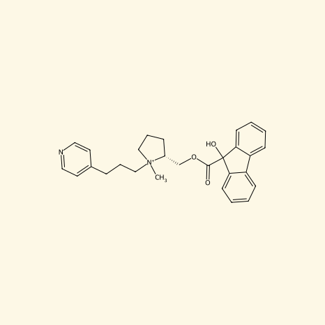 C[N+]1(CCCc2ccncc2)CCC[C@@H]1COC(=O)C1(O)c2ccccc2-c2ccccc21